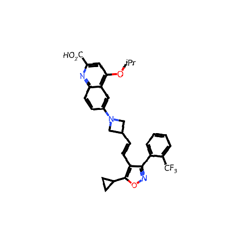 CC(C)Oc1cc(C(=O)O)nc2ccc(N3CC(/C=C/c4c(-c5ccccc5C(F)(F)F)noc4C4CC4)C3)cc12